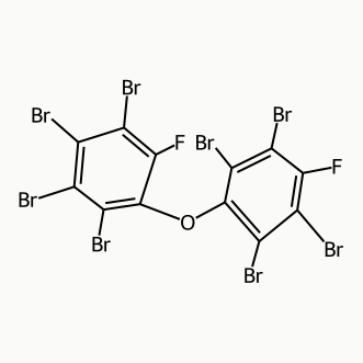 Fc1c(Br)c(Br)c(Oc2c(F)c(Br)c(Br)c(Br)c2Br)c(Br)c1Br